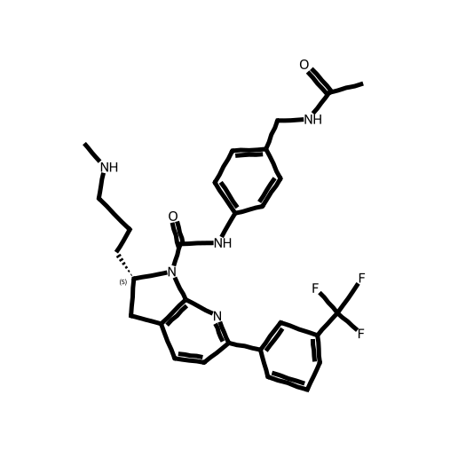 CNCCC[C@H]1Cc2ccc(-c3cccc(C(F)(F)F)c3)nc2N1C(=O)Nc1ccc(CNC(C)=O)cc1